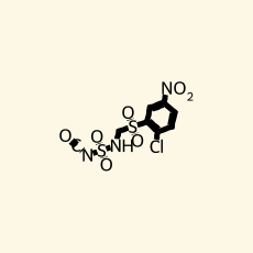 O=C=NS(=O)(=O)NCS(=O)(=O)c1cc([N+](=O)[O-])ccc1Cl